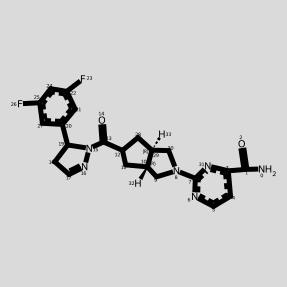 NC(=O)c1ccnc(N2C[C@@H]3CC(C(=O)N4N=CCC4c4cc(F)cc(F)c4)C[C@H]3C2)n1